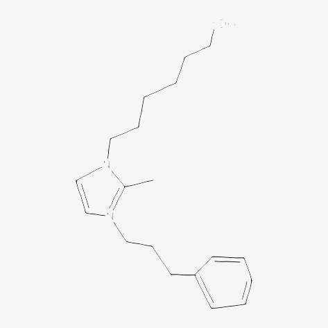 CCCCCCCCCCCCCCCCn1cc[n+](CCCc2ccccc2)c1C